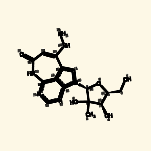 CC1(O)[C@H](O)[C@@H](CO)O[C@H]1n1cc2c3c(ncnc31)NC(=O)C=C2NN